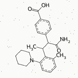 Cc1cccc(N2CCCCC2)c1C(C)C(C(N)=O)c1ccc(C(=O)O)cc1